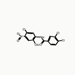 O=C(Nc1cc(Cl)c([N+](=O)[O-])cc1O)c1ccc(Cl)c(Cl)c1